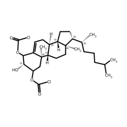 CC(C)CCC[C@@H](C)[C@H]1CC[C@H]2[C@@H]3CC=C4C(OC(=O)Cl)[C@@H](O)C(OC(=O)Cl)C[C@]4(C)[C@H]3CC[C@]12C